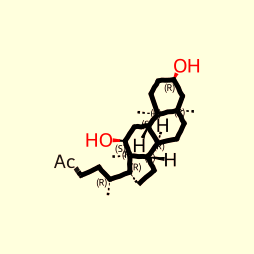 CC(=O)CC[C@@H](C)[C@H]1CC[C@H]2[C@@H]3CC[C@]4(C)C[C@H](O)CC[C@]4(C)[C@H]3C[C@H](O)[C@]12C